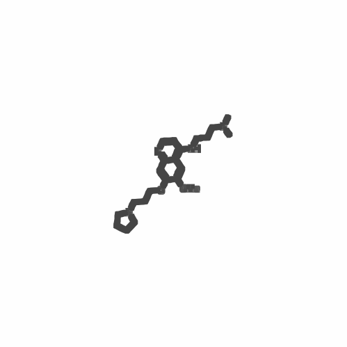 COc1cc2c(NCCCN(C)C)ccnc2cc1OCCCN1CCCC1